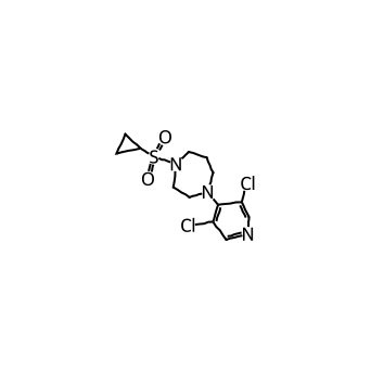 O=S(=O)(C1CC1)N1CCCN(c2c(Cl)cncc2Cl)CC1